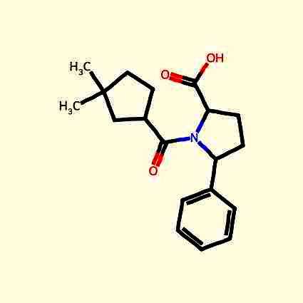 CC1(C)CCC(C(=O)N2C(C(=O)O)CCC2c2ccccc2)C1